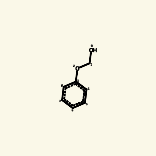 OCOc1[c]cccc1